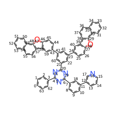 c1ccc(-c2nc(-c3cccc(-c4cccnc4)c3)nc(-c3cc(-c4ccc5oc6c7ccccc7ccc6c5c4)cc(-c4ccc5oc6c7ccccc7ccc6c5c4)c3)n2)cc1